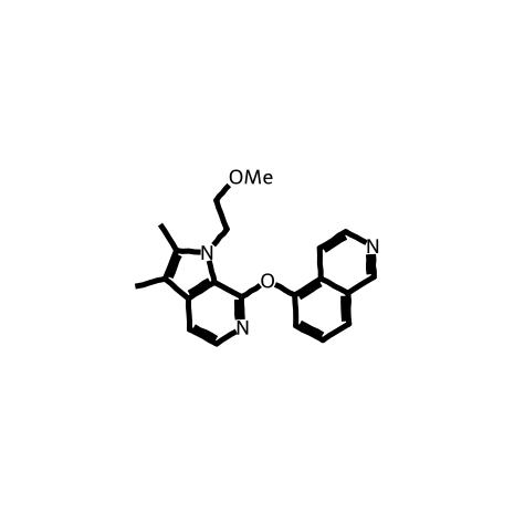 COCCn1c(C)c(C)c2ccnc(Oc3cccc4cnccc34)c21